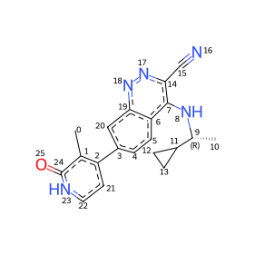 Cc1c(-c2ccc3c(N[C@H](C)C4CC4)c(C#N)nnc3c2)cc[nH]c1=O